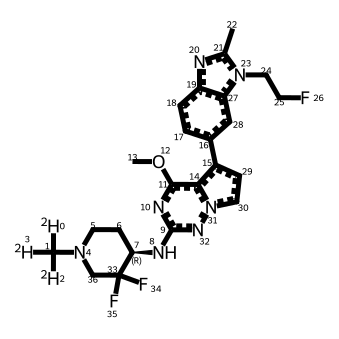 [2H]C([2H])([2H])N1CC[C@@H](Nc2nc(OC)c3c(-c4ccc5nc(C)n(CCF)c5c4)ccn3n2)C(F)(F)C1